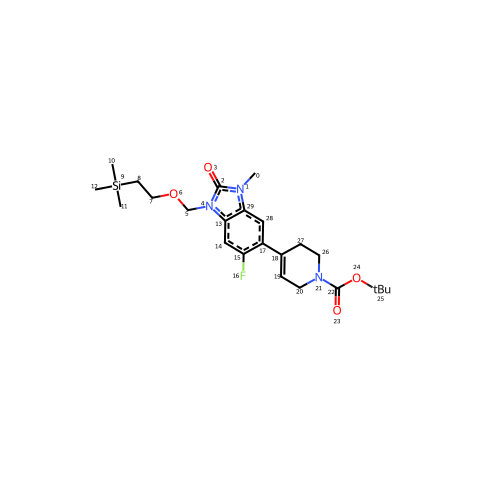 Cn1c(=O)n(COCC[Si](C)(C)C)c2cc(F)c(C3=CCN(C(=O)OC(C)(C)C)CC3)cc21